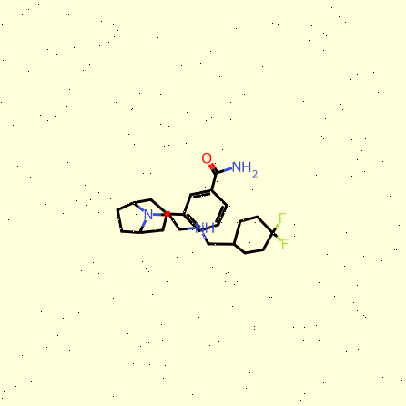 NC(=O)c1cccc(C2CC3CCC(C2)N3CCNCC2CCC(F)(F)CC2)c1